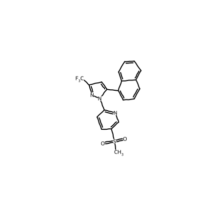 CS(=O)(=O)c1ccc(-n2nc(C(F)(F)F)cc2-c2cccc3ccccc23)nc1